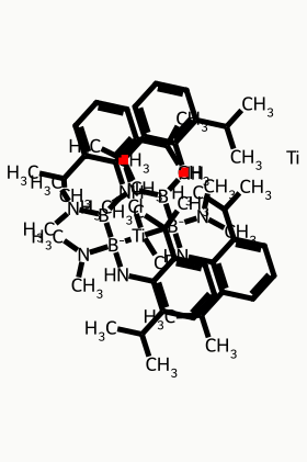 CC(C)c1cccc(C(C)C)c1NB(N(C)C)[B-](Nc1c(C(C)C)cccc1C(C)C)(N(C)C)[Ti]([Cl])([Cl])[B-](Nc1c(C(C)C)cccc1C(C)C)(B(Nc1c(C(C)C)cccc1C(C)C)N(C)C)N(C)C.[Ti]